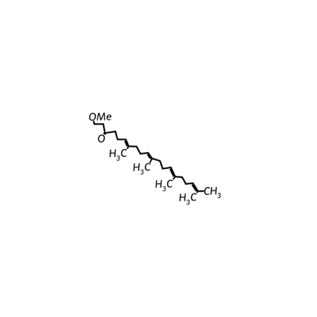 COCCC(=O)CC/C=C(\C)CC/C=C(\C)CC/C=C(\C)CCC=C(C)C